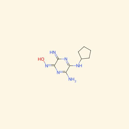 N=C1N=C(NC2CCCC2)C(N)=N/C1=N/O